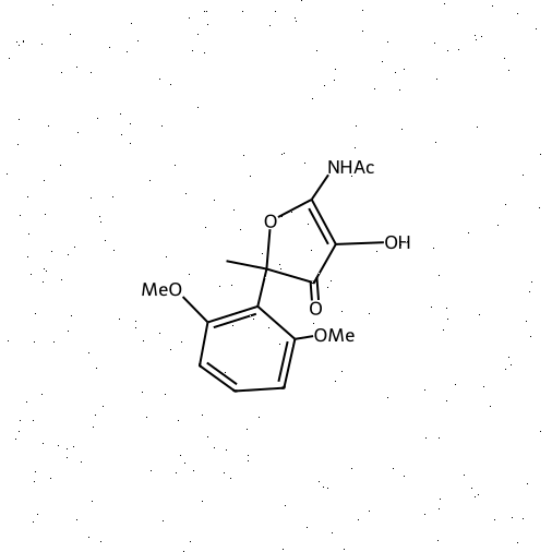 COc1cccc(OC)c1C1(C)OC(NC(C)=O)=C(O)C1=O